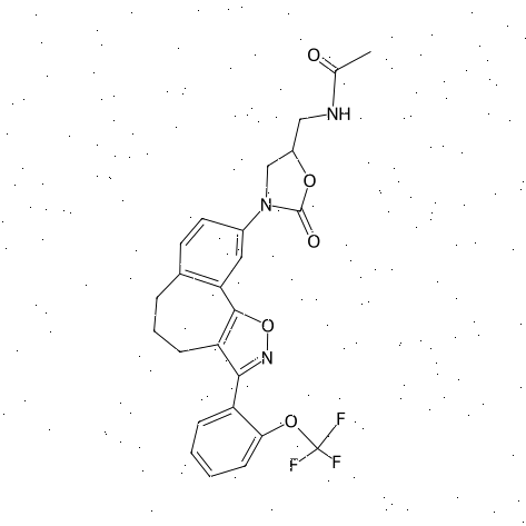 CC(=O)NCC1CN(c2ccc3c(c2)-c2onc(-c4ccccc4OC(F)(F)F)c2CCC3)C(=O)O1